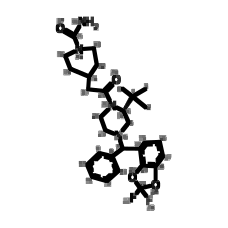 CC(C)(C)[C@H]1CN(C(c2ccccc2)c2cccc3c2OC(F)(F)O3)CCN1C(=O)CC1CCN(C(N)=O)CC1